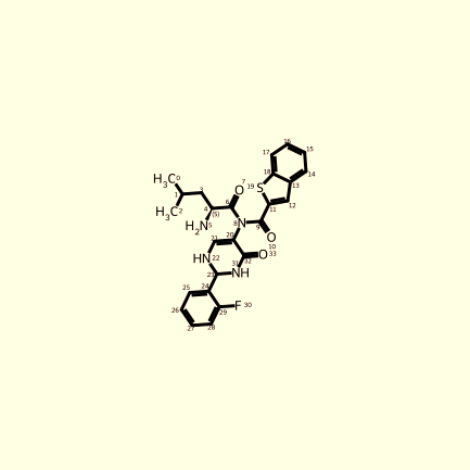 CC(C)C[C@H](N)C(=O)N(C(=O)c1cc2ccccc2s1)C1=CNC(c2ccccc2F)NC1=O